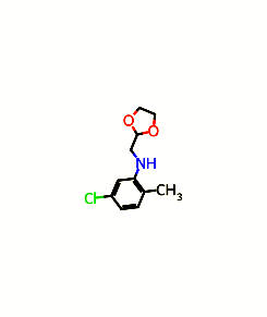 Cc1ccc(Cl)cc1NCC1OCCO1